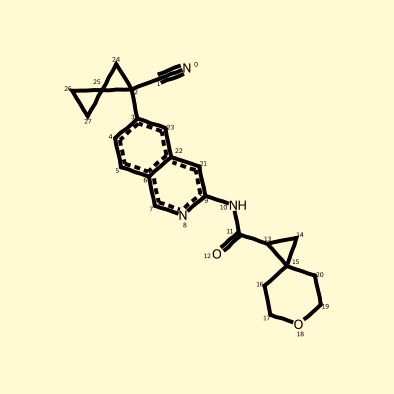 N#CC1(c2ccc3cnc(NC(=O)C4CC45CCOCC5)cc3c2)CC12CC2